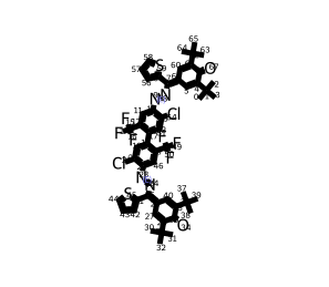 CC(C)(C)C1=CC(=C(/N=N/c2cc(C(F)(F)F)c(-c3cc(Cl)c(/N=N/C(=C4C=C(C(C)(C)C)C(=O)C(C(C)(C)C)=C4)c4cccs4)cc3C(F)(F)F)cc2Cl)c2cccs2)C=C(C(C)(C)C)C1=O